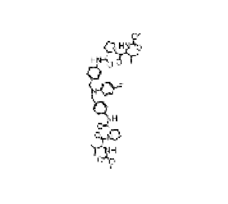 COC(=O)N[C@H](C(=O)N1CCC[C@H]1C(=O)Nc1ccc(CN(Cc2ccc(NC(=O)[C@@H]3CCCN3C(=O)[C@@H](NC(=O)OC)C(C)C)cc2)c2ccc(F)cc2)cc1)C(C)C